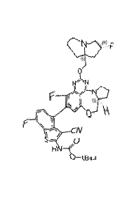 CC(C)(C)OC(=O)Nc1sc2c(F)ccc(-c3cc4c5c(nc(OC[C@@]67CCCN6C[C@H](F)C7)nc5c3F)N3CCC[C@H]3CO4)c2c1C#N